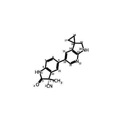 C[C@@]1(C#N)C(=O)Nc2ccc(-c3cnc4c(c3)C3(CC3)CN4)cc21